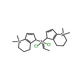 C[CH]=[Zr]([Cl])([Cl])([CH]1C=CC2=C1CCC[Si]2(C)C)[CH]1C=CC2=C1CCC[Si]2(C)C